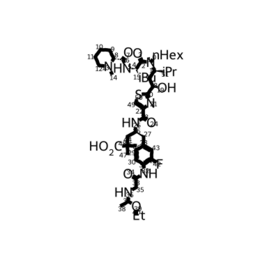 CCCCCCN(C(=O)[C@@H](NC(=O)[C@H]1CCCCN1C)[C@@H](C)CC)[C@H](C[C@@H](O)c1nc(C(=O)N[C@@H](Cc2ccc(NC(=O)CNC(C)OCC)c(F)c2)CC(C)(C)C(=O)O)cs1)C(C)C